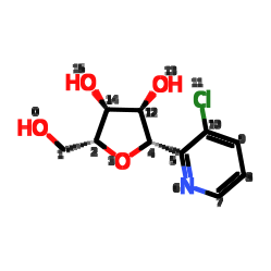 OC[C@H]1O[C@@H](c2ncccc2Cl)[C@H](O)[C@@H]1O